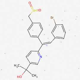 CC(C)(O)c1ccc(/C(=C/c2cccc(Br)c2)c2ccc(C[SH](=O)=O)cc2)nc1